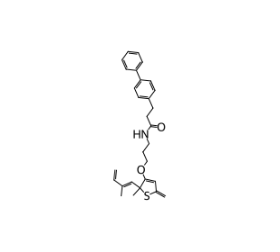 C=C/C(C)=C/C1(C)SC(=C)C=C1OCCCNC(=O)CCc1ccc(-c2ccccc2)cc1